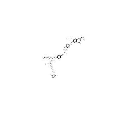 CCCN(CCC)C(=O)C1=Cc2cc(OC)c(C(=O)Nc3cc4c(cn3)CCN(C(=O)OCc3ccc(NC(=O)[C@H](CCCNC(N)=O)NC(=O)[C@@H](NC(=O)CCCCCN5C(=O)C=CC5=O)C(C)C)cc3)C4)cc2N=C(N)C1